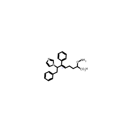 NOC(CC/C=C(\c1ccccc1)C(Cc1ccccc1)n1ccnc1)C(=O)O